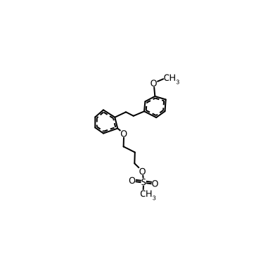 COc1cccc(CCc2ccccc2OCCCOS(C)(=O)=O)c1